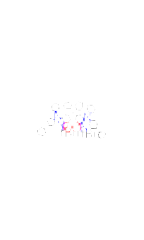 CC(C)(C)c1nc2c(N(c3ccccc3)c3ccc(-c4ccccc4)cc3)cc3c(c2o1)-c1c(cc(N(c2ccccc2)c2ccc(-c4ccccc4)cc2)c2nc(C(C)(C)C)oc12)C3(c1ccccc1)c1ccccc1